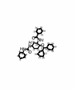 O=C(Nc1ccccc1)NC1CCC(OC(c2ccccc2)c2ccccc2)C(NC(=O)c2ccccc2)C1